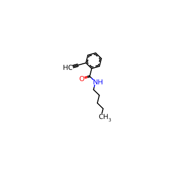 C#Cc1ccccc1C(=O)NCCCCC